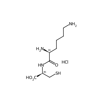 Cl.NCCCC[C@H](N)C(=O)N[C@@H](CS)C(=O)O